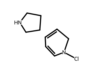 C1CCNC1.ClN1C=CC=CC1